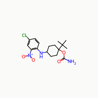 CC(C)(C)C1(OC(N)=O)CCC(Nc2ccc(Cl)cc2[N+](=O)[O-])CC1